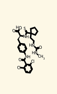 CNC(=O)NCCC1(C(=S)N[C@@H](Cc2ccc(NC(=O)c3c(Cl)cccc3Cl)cc2)C(=O)O)CCCC1